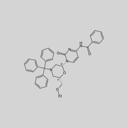 CCOC[C@@H]1CN(C(c2ccccc2)(c2ccccc2)c2ccccc2)C[C@H](n2ccc(NC(=O)c3ccccc3)nc2=O)O1